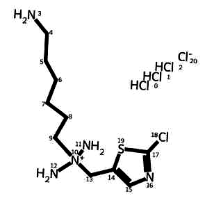 Cl.Cl.Cl.NCCCCCC[N+](N)(N)Cc1cnc(Cl)s1.[Cl-]